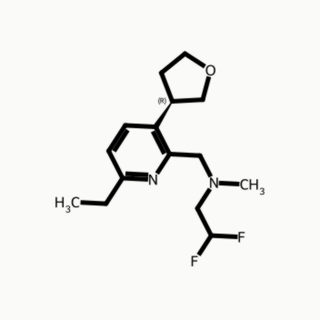 CCc1ccc([C@H]2CCOC2)c(CN(C)CC(F)F)n1